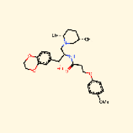 CC[C@@H]1CC[C@H](C)CN1C[C@@H](NC(=O)CCOc1ccc(OC)cc1)[C@H](O)c1ccc2c(c1)OCCO2